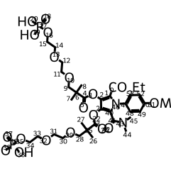 CCOC(=O)c1c(OC(=O)C(C)(C)COCCOCCOP(=O)(O)O)c(OC(=O)C(C)(C)COCCOCCOP(=O)(O)O)c(C(=O)N(C)C)n1-c1ccc(OC)cc1